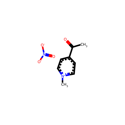 CC(=O)c1cc[n+](C)cc1.O=[N+]([O-])[O-]